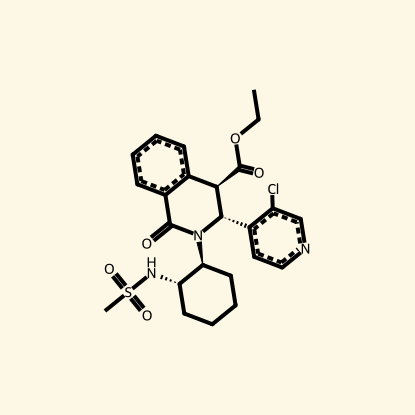 CCOC(=O)[C@@H]1c2ccccc2C(=O)N([C@H]2CCCC[C@@H]2NS(C)(=O)=O)[C@H]1c1ccncc1Cl